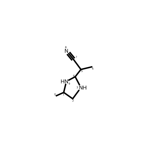 CC1CNC(C(C)C#N)N1